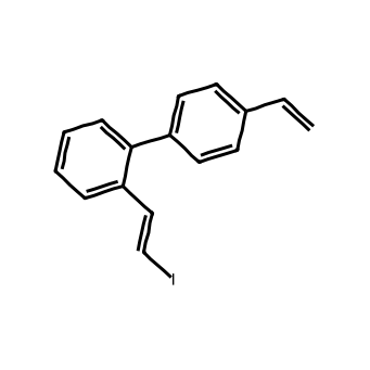 C=Cc1ccc(-c2ccccc2/C=C/I)cc1